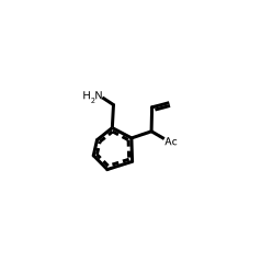 C=CC(C(C)=O)c1ccccc1CN